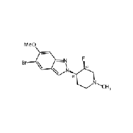 COc1cc2nn([C@@H]3CCN(C)C[C@@H]3F)cc2cc1Br